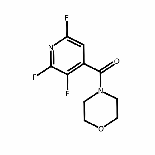 O=C(c1cc(F)nc(F)c1F)N1CCOCC1